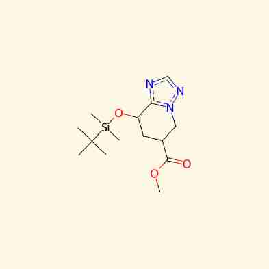 COC(=O)C1CC(O[Si](C)(C)C(C)(C)C)c2ncnn2C1